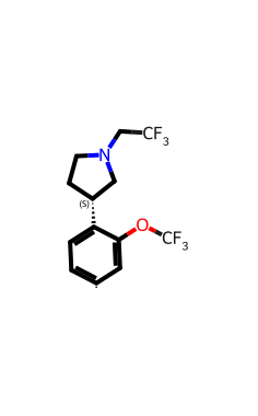 FC(F)(F)CN1CC[C@@H](c2cc[c]cc2OC(F)(F)F)C1